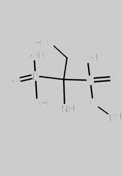 BOP(=O)(O)C(N)(CC)P(=O)(O)O